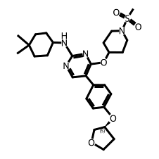 CC1(C)CCC(Nc2ncc(-c3ccc(O[C@H]4CCOC4)cc3)c(OC3CCN(S(C)(=O)=O)CC3)n2)CC1